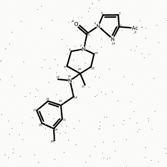 CC(=O)c1ccn(C(=O)N2CCC(C)(N(C)Cc3cccc(C)c3)CC2)n1